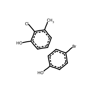 Cc1cccc(O)c1Cl.Oc1ccc(Br)cc1